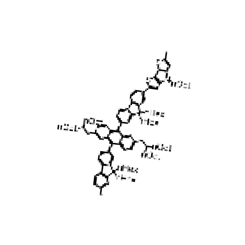 CCCCCCCCC(CCCCCCCC)Cc1ccc2c(-c3ccc4c(c3)C(CCCCCC)(CCCCCC)c3cc(-c5cc6c(s5)c5sc(C)cc5n6CCCCCCCC)ccc3-4)c3cc(CC(CCCCCCCC)CCCCCCCC)ccc3c(-c3ccc4c(c3)C(CCCCCC)(CCCCCC)c3cc(C)ccc3-4)c2c1